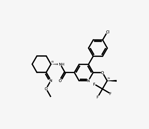 CON=C1CCCC[C@@H]1NC(=O)c1cnc(O[C@@H](C)C(F)(F)F)c(-c2ccc(Cl)cc2)c1